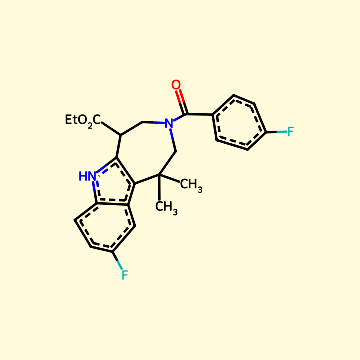 CCOC(=O)C1CN(C(=O)c2ccc(F)cc2)CC(C)(C)c2c1[nH]c1ccc(F)cc21